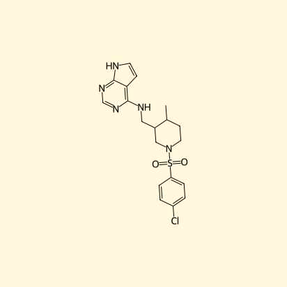 CC1CCN(S(=O)(=O)c2ccc(Cl)cc2)CC1CNc1ncnc2[nH]ccc12